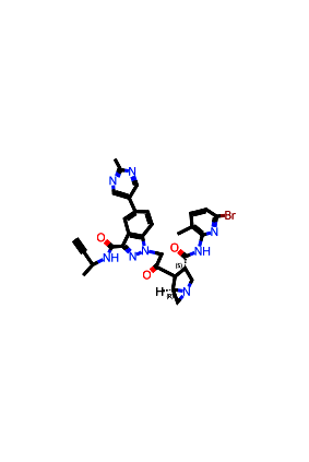 C#CC(C)NC(=O)c1nn(CC(=O)C2[C@H](C(=O)Nc3nc(Br)ccc3C)CN3C[C@@H]23)c2ccc(-c3cnc(C)nc3)cc12